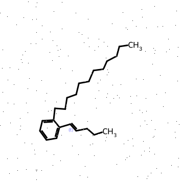 CCC/C=C/c1ccccc1CCCCCCCCCCCC